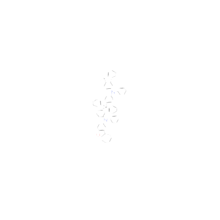 CC1(C)c2ccccc2-c2cc(N(c3ccccc3)c3ccc([Si](c4ccccc4)(c4ccccc4)c4cccc(N(c5ccccc5)c5ccc6oc7c(c6c5)CC=CC=C7)c4)cc3)ccc21